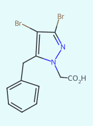 O=C(O)Cn1nc(Br)c(Br)c1Cc1ccccc1